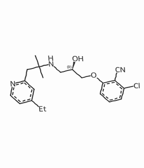 CCc1ccnc(CC(C)(C)NC[C@@H](O)COc2cccc(Cl)c2C#N)c1